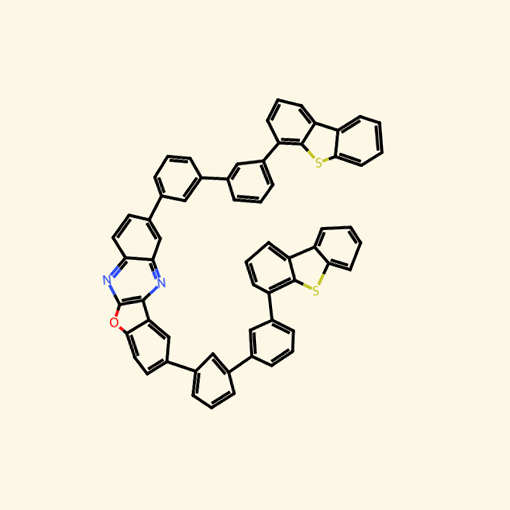 c1cc(-c2cccc(-c3cccc4c3sc3ccccc34)c2)cc(-c2ccc3nc4oc5ccc(-c6cccc(-c7cccc(-c8cccc9c8sc8ccccc89)c7)c6)cc5c4nc3c2)c1